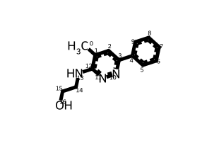 Cc1cc(-c2ccccc2)nnc1NCCO